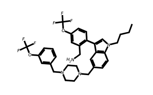 CCCCn1cc(-c2ccc(OC(F)(F)F)cc2CN)c2cc(CN3CCN(Cc4cccc(OC(F)(F)F)c4)CC3)ccc21